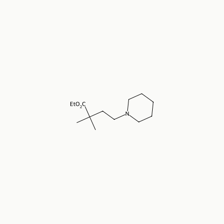 CCOC(=O)C(C)(C)CCN1CCCCC1